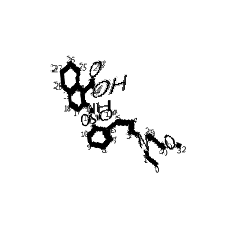 CCN(C/C=C\c1ccccc1S(=O)(=O)Nc1ccc2c(c1C(=O)O)CCCC2)CCOC